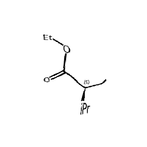 CCOC(=O)[C@@H](C)C(C)C